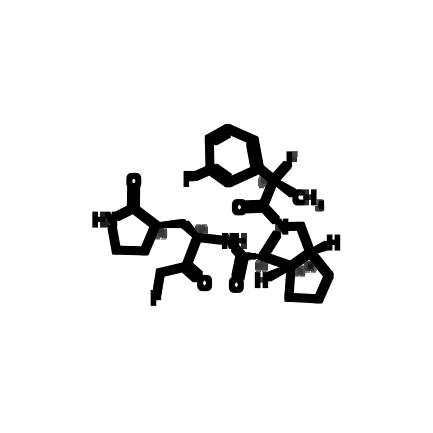 C[C@@](F)(C(=O)N1C[C@@H]2CCC[C@@H]2[C@@H]1C(=O)N[C@H](C[C@H]1CCNC1=O)C(=O)CF)c1cccc(F)c1